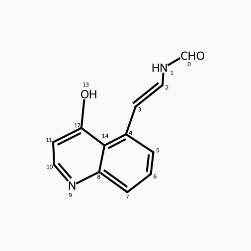 O=CNC=Cc1cccc2nccc(O)c12